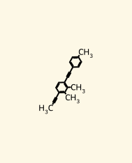 CC#Cc1ccc(C#Cc2ccc(C)cc2)c(C)c1C